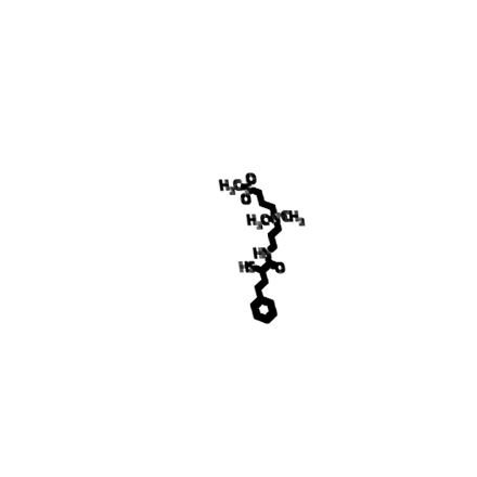 C[N+](C)(CCCNC(=O)C(S)CCc1ccccc1)CCCS(C)(=O)=O